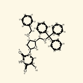 O=c1[nH]c(=O)n([C@H]2C[C@H](OCc3ccccc3)[C@@H](COC(c3ccccc3)(c3ccccc3)c3ccccc3)O2)cc1F